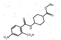 CC(C)(C)OC(=O)N1CCC(NC(=O)c2ccc([N+](=O)[O-])cc2C(=O)O)CC1